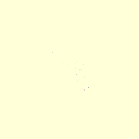 CN1CCCN(C(=O)C2CCc3c(sc4ncnc(Nc5ccc6[nH]ncc6c5)c34)C2)CC1